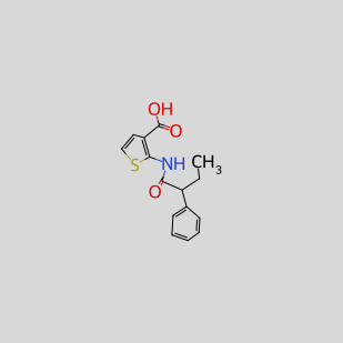 CCC(C(=O)Nc1sccc1C(=O)O)c1ccccc1